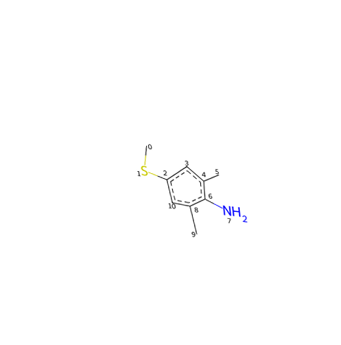 CSc1cc(C)c(N)c(C)c1